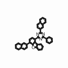 c1ccc(-c2nc(-c3ccc4ccccc4c3)nc(-c3ccc(-c4ccc5ccccc5c4)c4oc5ccccc5c34)n2)cc1